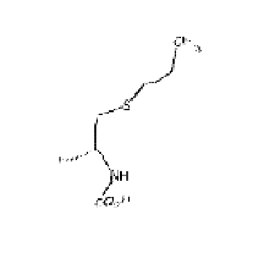 C[C@H](CSCCC(F)(F)F)NC(=O)O